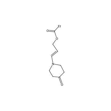 CCC(=O)OCC=CN1CCC(=O)CC1